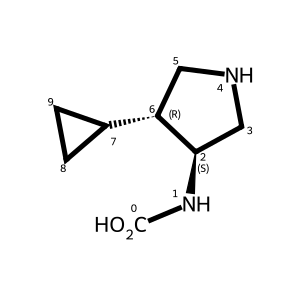 O=C(O)N[C@@H]1CNC[C@H]1C1CC1